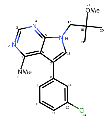 CNc1ncnc2c1c(-c1cccc(Cl)c1)cn2CC(C)(C)OC